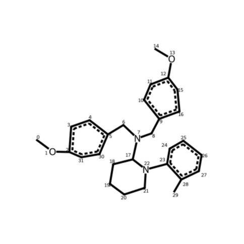 COc1ccc(CN(Cc2ccc(OC)cc2)C2C[CH]CCN2c2ccccc2C)cc1